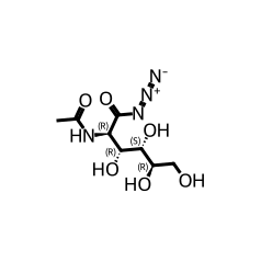 CC(=O)N[C@@H](C(=O)N=[N+]=[N-])[C@@H](O)[C@H](O)[C@H](O)CO